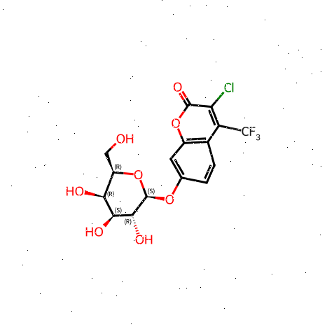 O=c1oc2cc(O[C@@H]3O[C@H](CO)[C@H](O)[C@H](O)[C@H]3O)ccc2c(C(F)(F)F)c1Cl